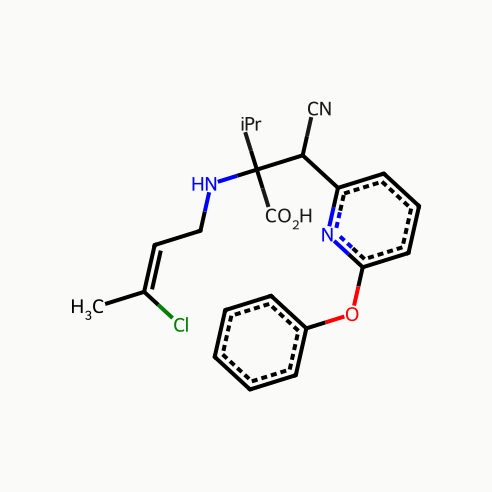 CC(Cl)=CCNC(C(=O)O)(C(C)C)C(C#N)c1cccc(Oc2ccccc2)n1